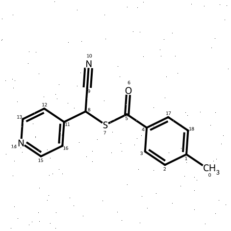 Cc1ccc(C(=O)SC(C#N)c2ccncc2)cc1